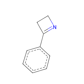 c1ccc(C2=NCC2)cc1